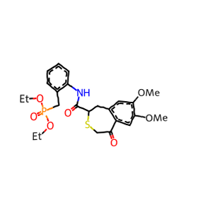 CCOP(=O)(Cc1ccccc1NC(=O)C1Cc2cc(OC)c(OC)cc2C(=O)CS1)OCC